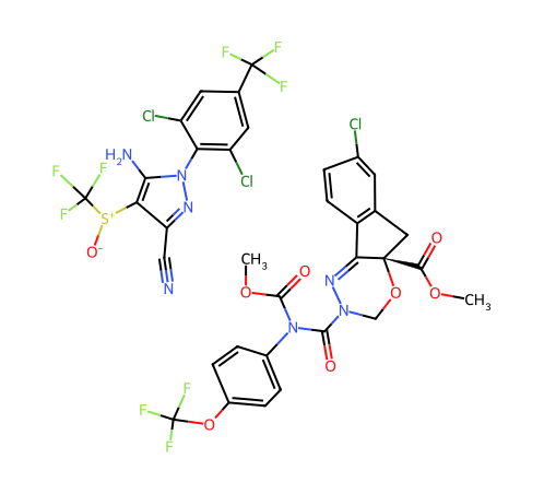 COC(=O)N(C(=O)N1CO[C@@]2(C(=O)OC)Cc3cc(Cl)ccc3C2=N1)c1ccc(OC(F)(F)F)cc1.N#Cc1nn(-c2c(Cl)cc(C(F)(F)F)cc2Cl)c(N)c1[S+]([O-])C(F)(F)F